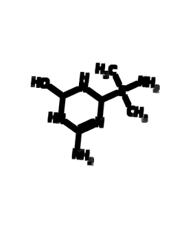 CS(C)(N)C1N=C(N)NC(O)N1